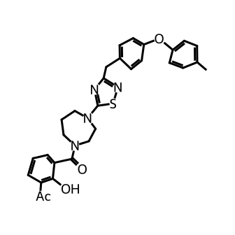 CC(=O)c1cccc(C(=O)N2CCCN(c3nc(Cc4ccc(Oc5ccc(C)cc5)cc4)ns3)CC2)c1O